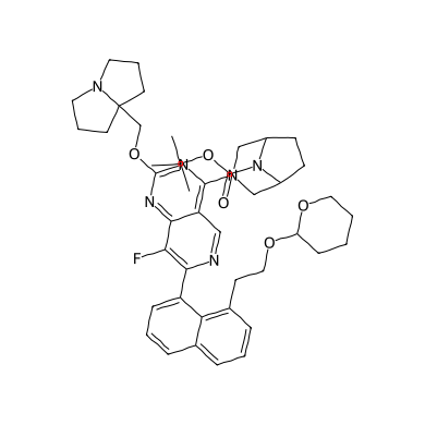 CC(C)(C)OC(=O)N1C2CCC1CN(c1nc(OCC34CCCN3CCC4)nc3c(F)c(-c4cccc5cccc(CCOC6CCCCO6)c45)ncc13)C2